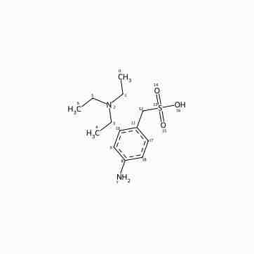 CCN(CC)CC.Nc1ccc(CS(=O)(=O)O)cc1